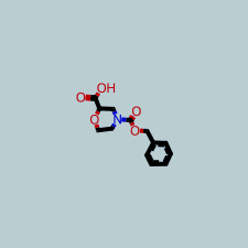 O=C(O)C1CN(C(=O)OCc2ccccc2)CCO1